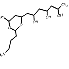 CCCC1CC(CC(O)CC(O)CC(C)O)OC(CCCN)O1